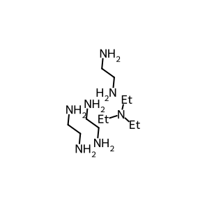 CCN(CC)CC.NCCN.NCCN.NCCN